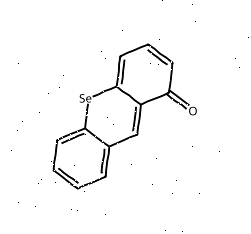 O=c1cccc2[se]c3ccccc3cc1-2